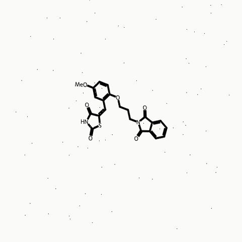 COc1ccc(OCCCN2C(=O)c3ccccc3C2=O)c(C=C2SC(=O)NC2=O)c1